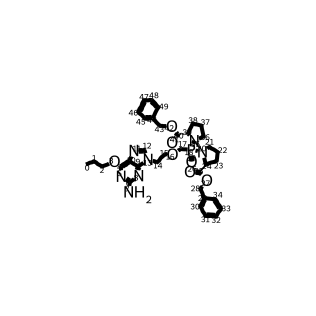 CCCOc1nc(N)nc2c1ncn2CCOCP(=O)(N1CCC[C@H]1C(=O)OCc1ccccc1)N1CCC[C@H]1C(=O)OCc1ccccc1